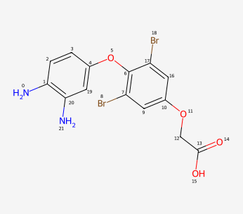 Nc1ccc(Oc2c(Br)cc(OCC(=O)O)cc2Br)cc1N